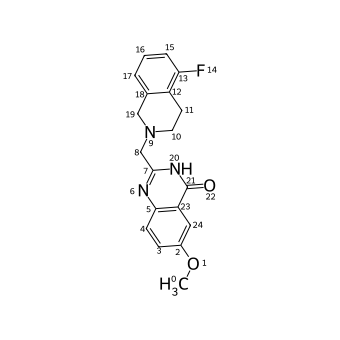 COc1ccc2nc(CN3CCc4c(F)cccc4C3)[nH]c(=O)c2c1